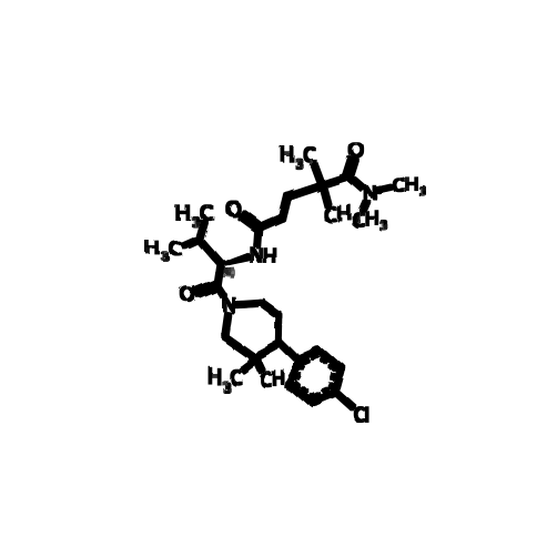 CC(C)[C@@H](NC(=O)CCC(C)(C)C(=O)N(C)C)C(=O)N1CCC(c2ccc(Cl)cc2)C(C)(C)C1